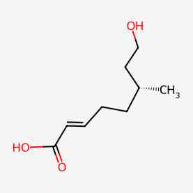 C[C@@H](CCO)CC/C=C/C(=O)O